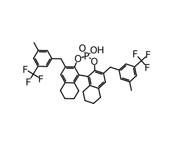 Cc1cc(Cc2cc3c(c4c2OP(=O)(O)Oc2c(Cc5cc(C)cc(C(F)(F)F)c5)cc5c(c2-4)CCCC5)CCCC3)cc(C(F)(F)F)c1